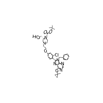 CC(C)(C)OC(=O)N1CCN(CCOc2ccc(-c3nc4c(OC5(C)CC5)ncnc4n3Cc3ccccc3)c(Cl)c2)C[C@@H]1CO